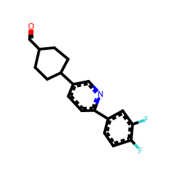 O=CC1CCC(c2ccc(-c3ccc(F)c(F)c3)nc2)CC1